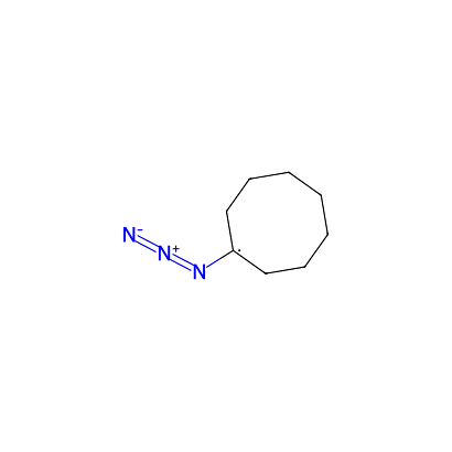 [N-]=[N+]=N[C]1CCCCCCC1